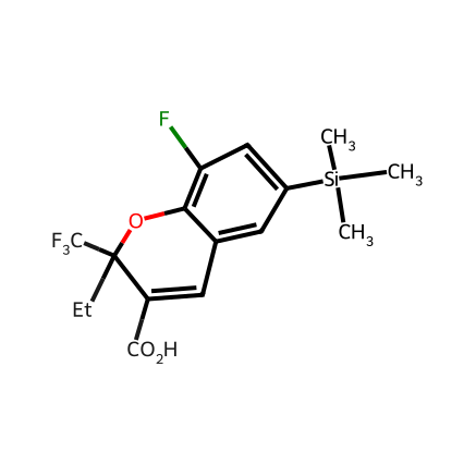 CCC1(C(F)(F)F)Oc2c(F)cc([Si](C)(C)C)cc2C=C1C(=O)O